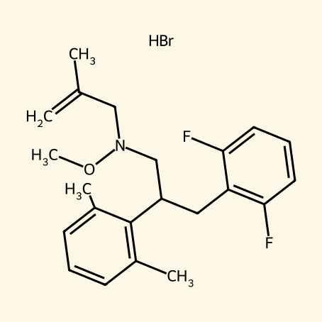 Br.C=C(C)CN(CC(Cc1c(F)cccc1F)c1c(C)cccc1C)OC